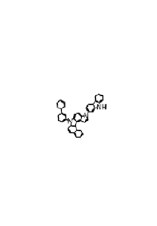 C1=CCC(c2cccc(-n3c4ccc5ccccc5c4c4c5ccn(-c6ccc7c(c6)[nH]c6ccccc67)c5ccc43)c2)C=C1